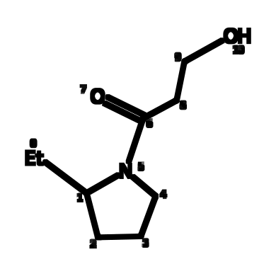 CCC1CCCN1C(=O)CCO